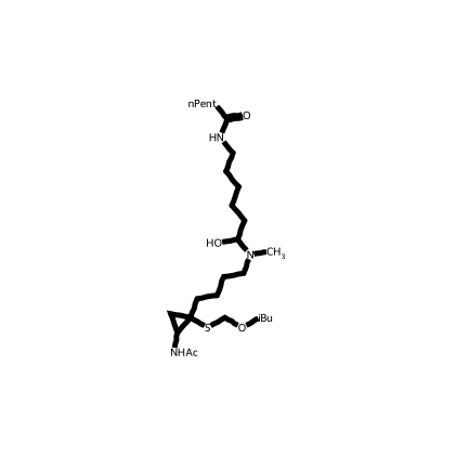 CCCCCC(=O)NCCCCCC(O)N(C)CCCCC1(SCOC(C)CC)CC1NC(C)=O